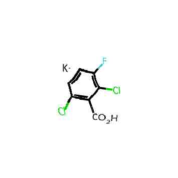 O=C(O)c1c(Cl)ccc(F)c1Cl.[K]